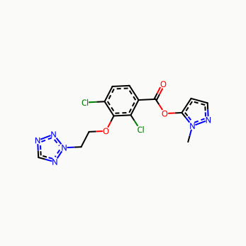 Cn1nccc1OC(=O)c1ccc(Cl)c(OCCn2ncnn2)c1Cl